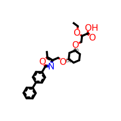 CCOC(CO[C@@H]1CCC[C@H](OCc2nc(-c3ccc(-c4ccccc4)cc3)oc2C)C1)C(=O)O